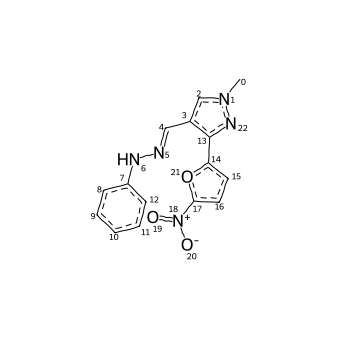 Cn1cc(/C=N/Nc2ccccc2)c(-c2ccc([N+](=O)[O-])o2)n1